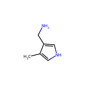 Cc1c[nH]cc1CN